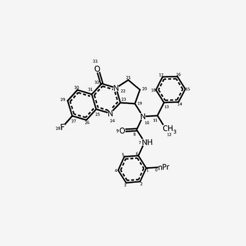 CCCc1ccccc1NC(=O)N(C(C)c1ccccc1)C1CCn2c1nc1cc(F)ccc1c2=O